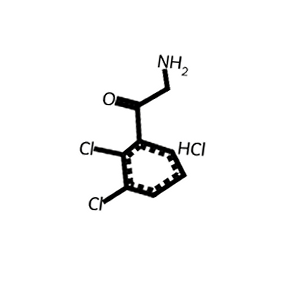 Cl.NCC(=O)c1cccc(Cl)c1Cl